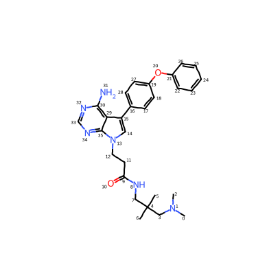 CN(C)CC(C)(C)CNC(=O)CCn1cc(-c2ccc(Oc3ccccc3)cc2)c2c(N)ncnc21